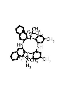 Cc1ccc2c(c1)Nc1cc(C)ccc1P([Si](C)(C)C)c1cc3ccccc3cc1Nc1cc3ccccc3cc1P2[Si](C)(C)C